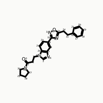 O=C(CCn1cnc2cc(-c3noc(CCc4ccccc4)n3)ccc21)N1CCCC1